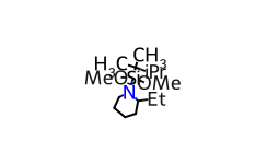 CCC1CCCCN1[Si](OC)(OC)C(C)(C)C(C)C